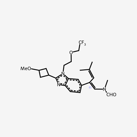 COC1CC(c2nc3ccc(/C(C=C(C)C)=C/N(C)C=O)cc3n2CCOCC(F)(F)F)C1